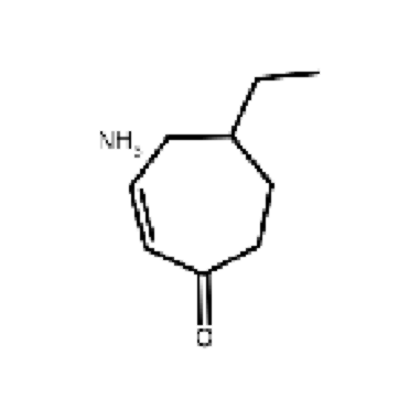 CCC1CC=CC(=O)CC1.N